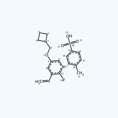 C=Cc1cc(OCN2CCC2)cnc1F.Cc1ccc(S(=O)(=O)O)cc1